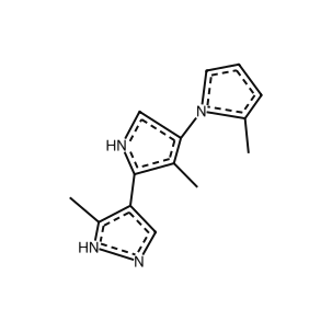 Cc1[nH]ncc1-c1[nH]cc(-n2cccc2C)c1C